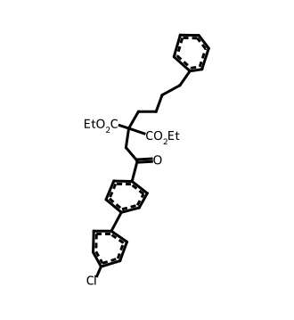 CCOC(=O)C(CCCCc1ccccc1)(CC(=O)c1ccc(-c2ccc(Cl)cc2)cc1)C(=O)OCC